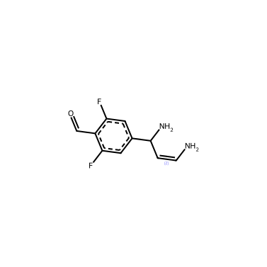 N/C=C\C(N)c1cc(F)c(C=O)c(F)c1